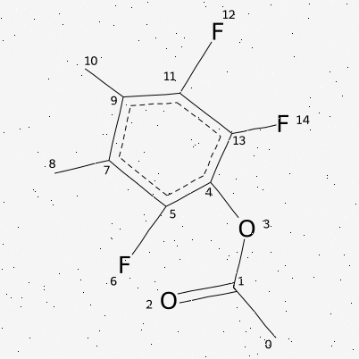 CC(=O)Oc1c(F)c(C)c(C)c(F)c1F